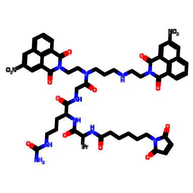 CC(C)C(NC(=O)CCCCCN1C(=O)C=CC1=O)C(=O)NC(CCCNC(N)=O)C(=O)NCC(=O)N(CCCNCCN1C(=O)c2cccc3cc([N+](=O)[O-])cc(c23)C1=O)CCN1C(=O)c2cccc3cc([N+](=O)[O-])cc(c23)C1=O